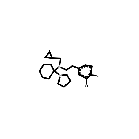 Clc1ccc(CCN(CC2CC2)C2(N3CCCC3)CCCCC2)cc1Cl